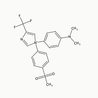 CN(C)c1ccc([N+]2(c3ccc(S(C)(=O)=O)cc3)C=NC(C(F)(F)F)=C2)cc1